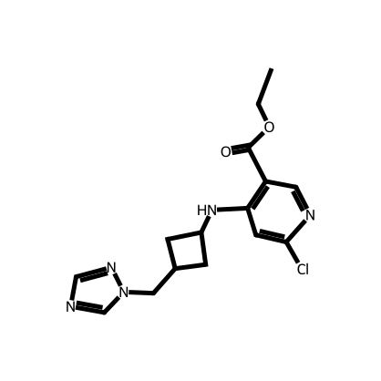 CCOC(=O)c1cnc(Cl)cc1NC1CC(Cn2cncn2)C1